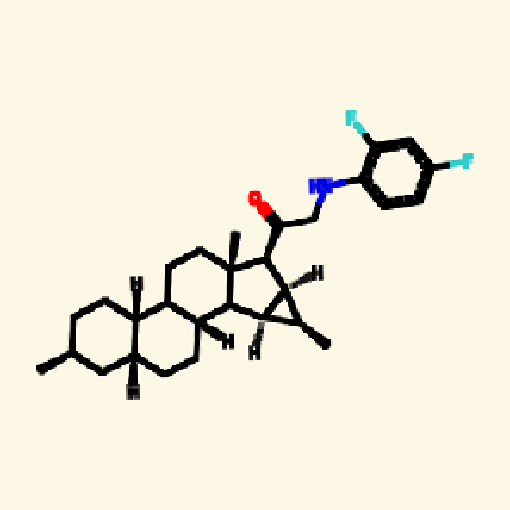 C[C@H]1CC[C@@H]2C3CC[C@@]4(C)C([C@@H]3CC[C@@H]2C1)[C@@H]1[C@H](C)[C@@H]1[C@@H]4C(=O)CNc1ccc(F)cc1F